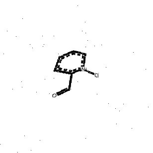 O=[C]c1cccc[n+]1Cl